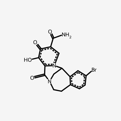 NC(=O)c1cn2c(c(O)c1=O)C(=O)N1CCc3ccc(Br)cc3C2C1